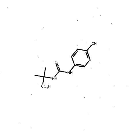 CC(C)(NC(=O)Nc1ccc(C#N)nc1)C(=O)O